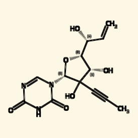 C=C[C@@H](O)[C@H]1O[C@@H](n2cnc(=O)[nH]c2=O)C(O)(C#CC)[C@H]1O